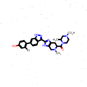 CCc1cc(O)ccc1-c1ccc2c(-c3nc4c([nH]3)CN(C)C(C(=O)N3CCN(C(=O)O)CC3C)C4)n[nH]c2c1